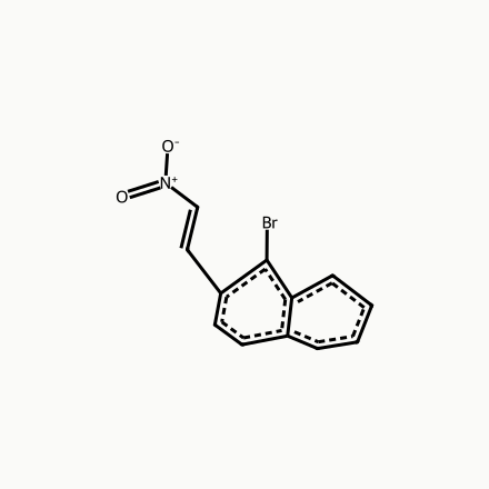 O=[N+]([O-])C=Cc1ccc2ccccc2c1Br